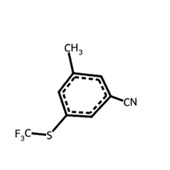 Cc1cc(C#N)cc(SC(F)(F)F)c1